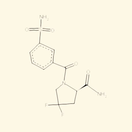 NC(=O)[C@H]1CC(F)(F)CN1C(=O)c1cccc(S(N)(=O)=O)c1